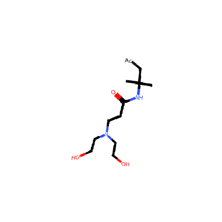 CC(=O)CC(C)(C)NC(=O)CCN(CCO)CCO